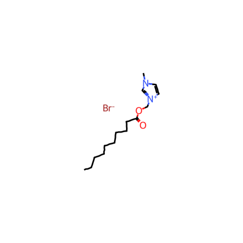 CCCCCCCCCC(=O)OC[n+]1ccn(C)c1.[Br-]